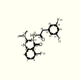 CN(C)c1nc2cccc(F)c2c(=O)n1NC(=O)Cc1cc(F)cc(F)c1